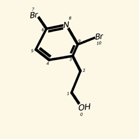 OCCc1ccc(Br)nc1Br